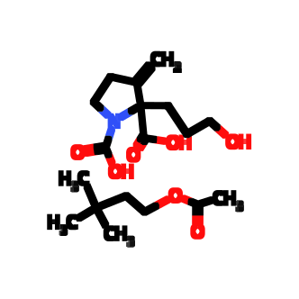 C=C1CCN(C(=O)O)C1(CCCO)C(=O)O.CC(=O)OCCC(C)(C)C